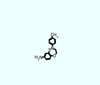 Cc1ccc(N2CCOc3ccc(N)cc3S2)cc1